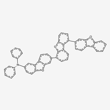 c1ccc(N(c2ccccc2)c2ccc3oc4cc(-c5cccc6c5oc5cccc(-c7ccc8c(c7)oc7ccccc78)c56)ccc4c3c2)cc1